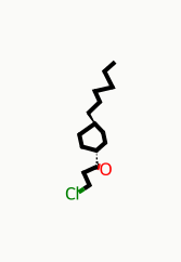 CCCCCC[C@H]1CC[C@H](C(=O)CCCl)CC1